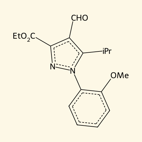 CCOC(=O)c1nn(-c2ccccc2OC)c(C(C)C)c1C=O